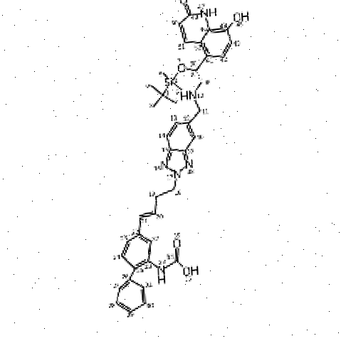 CC(C)(C)[Si](C)(C)O[C@@H](CNCc1ccc2nn(CCC=Cc3ccc(-c4ccccc4)c(NC(=O)O)c3)nc2c1)c1ccc(O)c2[nH]c(=O)ccc12